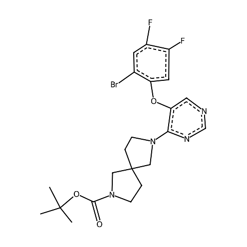 CC(C)(C)OC(=O)N1CCC2(CCN(c3ncncc3Oc3cc(F)c(F)cc3Br)C2)C1